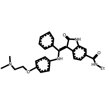 CCNC(=O)c1ccc2c(c1)NC(=O)C2=C(Nc1ccc(OCCN(C)C)cc1)c1ccccc1